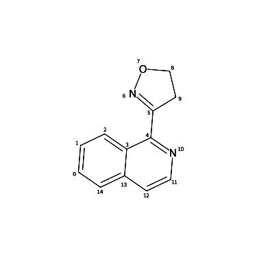 c1ccc2c(C3=NOCC3)nccc2c1